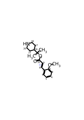 COc1ccccc1/C=C/C(=O)OC(C)(C)C1CCNCC1